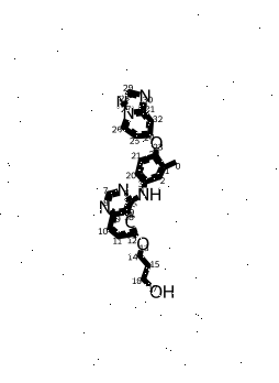 Cc1cc(Nc2ncnc3ccc(OCCCO)cc23)ccc1Oc1ccn2ncnc2c1